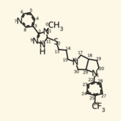 CN1C(c2cccnc2)=NNC1SCCCN1CC2CCN(c3ccc(C(F)(F)F)cc3)C2C1